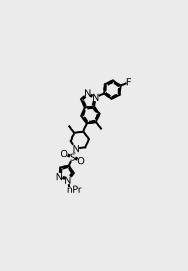 CCCn1cc(S(=O)(=O)N2CCC(c3cc4cnn(-c5ccc(F)cc5)c4cc3C)C(C)C2)cn1